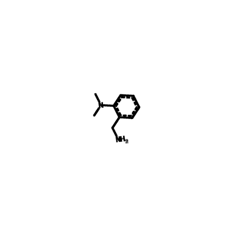 CN(C)c1ccccc1CN